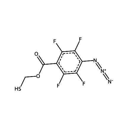 [N-]=[N+]=Nc1c(F)c(F)c(C(=O)OCS)c(F)c1F